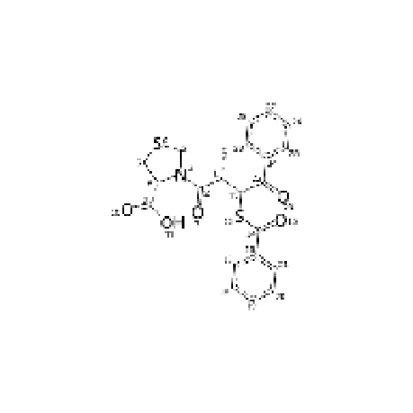 C[C@@H](C(=O)N1CSC[C@H]1C(=O)O)C(SC(=O)c1ccccc1)C(=O)c1ccccc1